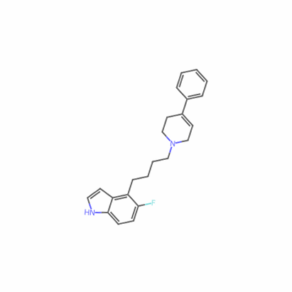 Fc1ccc2[nH]ccc2c1CCCCN1CC=C(c2ccccc2)CC1